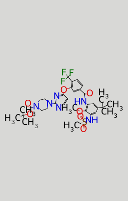 COc1c(NC(=O)c2ccc(C(F)(F)F)c(Oc3ccnc(N4CCN(C(=O)OC(C)(C)C)CC4)n3)c2)cc(C(C)(C)C)cc1NS(C)(=O)=O